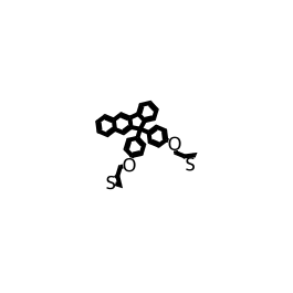 c1ccc2c(c1)-c1cc3ccccc3cc1C2(c1ccc(OCC2CS2)cc1)c1ccc(OCC2CS2)cc1